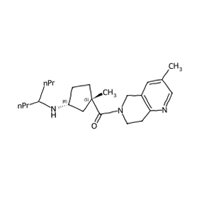 CCCC(CCC)N[C@@H]1CC[C@](C)(C(=O)N2CCc3ncc(C)cc3C2)C1